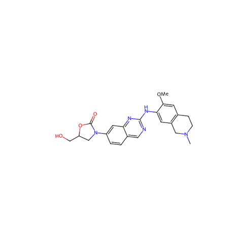 COc1cc2c(cc1Nc1ncc3ccc(N4CC(CO)OC4=O)cc3n1)CN(C)CC2